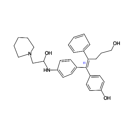 OCCC/C(=C(\c1ccc(O)cc1)c1ccc(NC(O)CN2CCCCC2)cc1)c1ccccc1